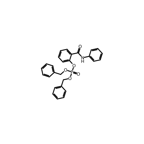 O=C(Nc1ccccc1)c1ccccc1OP(=O)(OCc1ccccc1)OCc1ccccc1